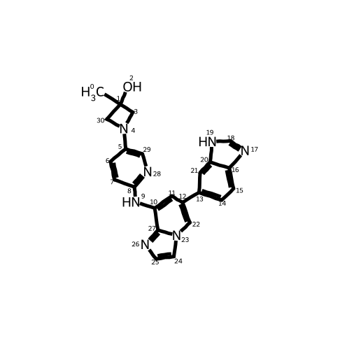 CC1(O)CN(c2ccc(Nc3cc(-c4ccc5nc[nH]c5c4)cn4ccnc34)nc2)C1